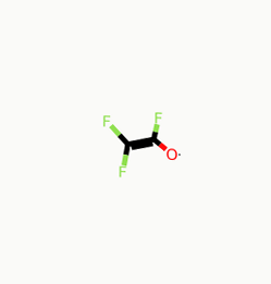 [O]C(F)=C(F)F